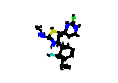 CCNc1nc(-c2cccc(OC)c2F)c(-c2ccnc(Cl)n2)s1